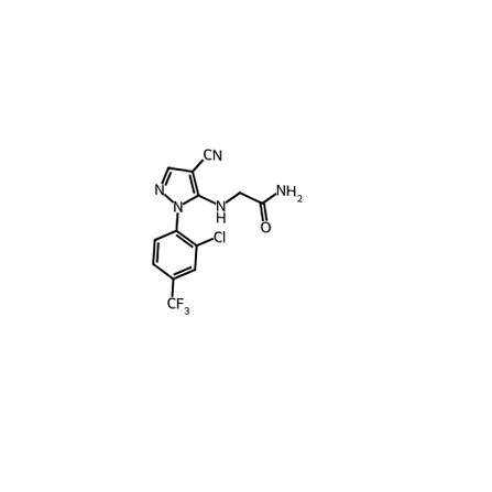 N#Cc1cnn(-c2ccc(C(F)(F)F)cc2Cl)c1NCC(N)=O